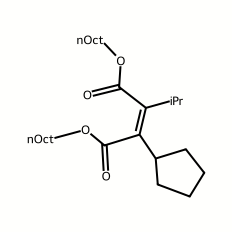 CCCCCCCCOC(=O)/C(=C(\C(=O)OCCCCCCCC)C1CCCC1)C(C)C